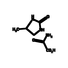 CC1CNC(=O)N1.NC(=O)C(=O)O